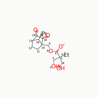 CCC(CO)(CO)C(=O)OCC12CCC(C(=O)C1=O)C2C(C)C